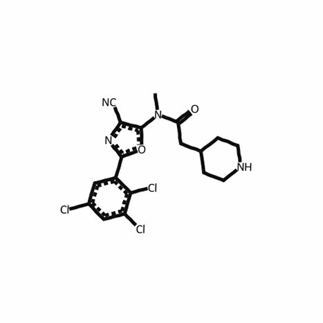 CN(C(=O)CC1CCNCC1)c1oc(-c2cc(Cl)cc(Cl)c2Cl)nc1C#N